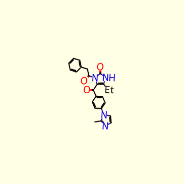 CCc1[nH]c(=O)n(C(=O)Cc2ccccc2)c1C(=O)c1ccc(-n2ccnc2C)cc1